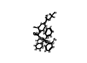 C[C@H]1CN(C(=O)OC(C)(C)C)CCN1C(=O)OC[C@H]1CCC[C@@H](c2cccc(F)c2)N1S(=O)(=O)c1ccccc1